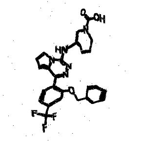 O=C(O)N1CCCC(Nc2nnc(-c3ccc(C(F)(F)F)cc3OCc3ccccc3)c3cccn23)C1